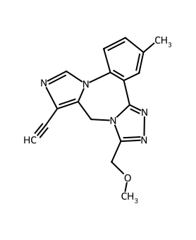 C#Cc1ncn2c1Cn1c(COC)nnc1-c1cc(C)ccc1-2